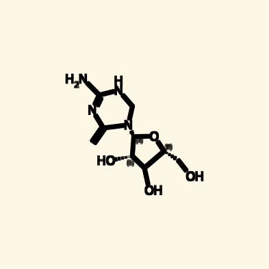 C=C1N=C(N)NCN1[C@@H]1O[C@H](CO)C(O)[C@@H]1O